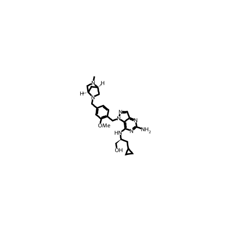 COc1cc(CN2C[C@H]3C[C@@H]2CN3C)ccc1Cn1ncc2nc(N)nc(N[C@H](CO)CC3CC3)c21